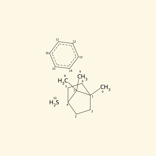 CC12CCC(CC1)C2(C)C.S.c1ccccc1